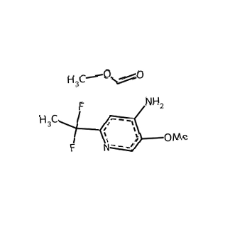 COC=O.COc1cnc(C(C)(F)F)cc1N